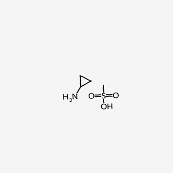 CS(=O)(=O)O.NC1CC1